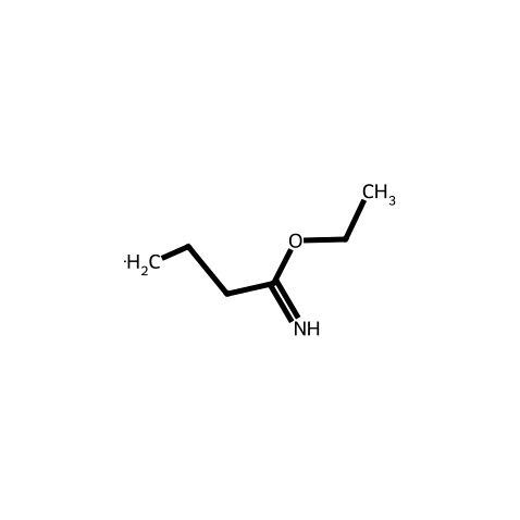 [CH2]CCC(=N)OCC